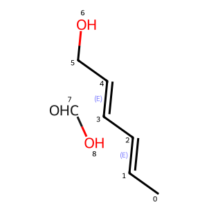 C/C=C/C=C/CO.O=CO